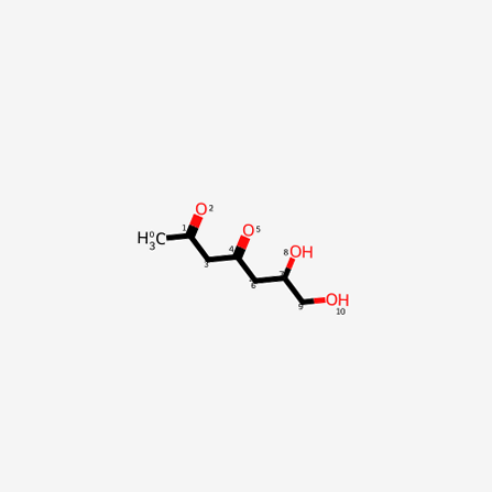 CC(=O)CC(=O)[CH]C(O)CO